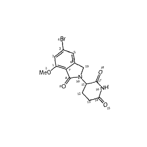 COc1cc(Br)cc2c1C(=O)N(C1CCC(=O)NC1=O)C2